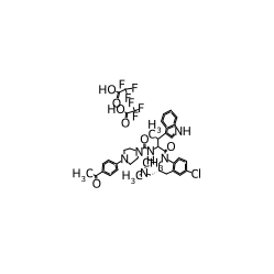 CC(=O)c1ccc(N2CCN(C(=O)NC(C(=O)N3C[C@@H](CN(C)C)Cc4cc(Cl)ccc43)C(C)c3c[nH]c4ccccc34)CC2)cc1.O=C(O)C(F)(F)F.O=C(O)C(F)(F)F